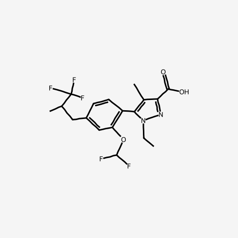 CCn1nc(C(=O)O)c(C)c1-c1ccc(CC(C)C(F)(F)F)cc1OC(F)F